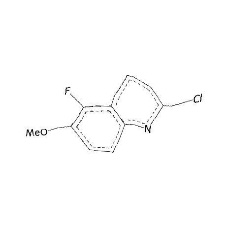 COc1ccc2nc(Cl)ccc2c1F